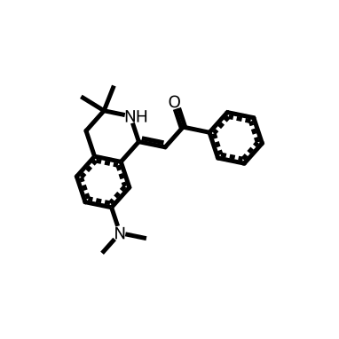 CN(C)c1ccc2c(c1)C(=CC(=O)c1ccccc1)NC(C)(C)C2